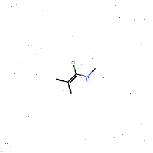 CNC(Cl)=C(C)C